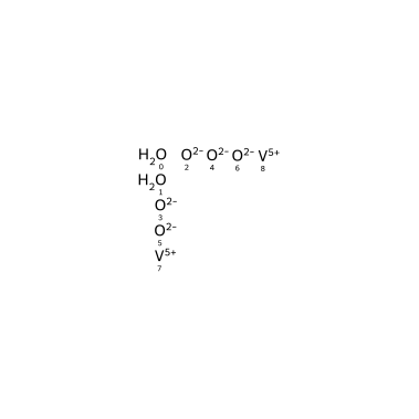 O.O.[O-2].[O-2].[O-2].[O-2].[O-2].[V+5].[V+5]